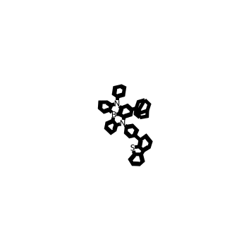 c1ccc(N2c3ccccc3B3c4ccccc4N(c4ccc(-c5cccc6c5sc5ccccc56)cc4)c4cc(C56CC7CC(CC(C7)C5)C6)cc2c43)cc1